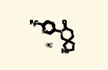 Cl.O=C1CCC2(CCNC2)CN1c1ccc(C(F)(F)F)nc1